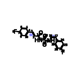 O=C(/C=C/c1ccc(F)cc1)NS(=O)(=O)N/C=C\c1ccc(F)cc1